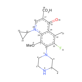 COc1c(N2CCNC(C)C2)c(F)c(C)c2c(=O)c(C(=O)O)cn(C3CC3)c12